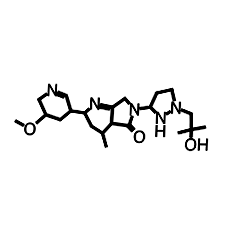 COC1CN=CC(C2CC(C)C3C(=O)N(C4CCN(CC(C)(C)O)N4)CC3=N2)C1